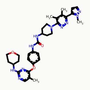 Cc1cnc(NC2CCOCC2)nc1Oc1ccc(NC(=O)NC2CCN(c3nnc(-c4ccnn4C)c(C)c3C)CC2)cc1